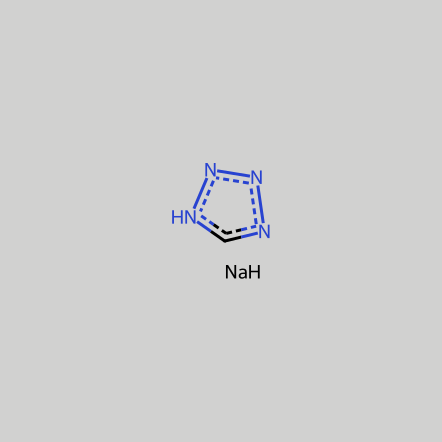 [NaH].c1nnn[nH]1